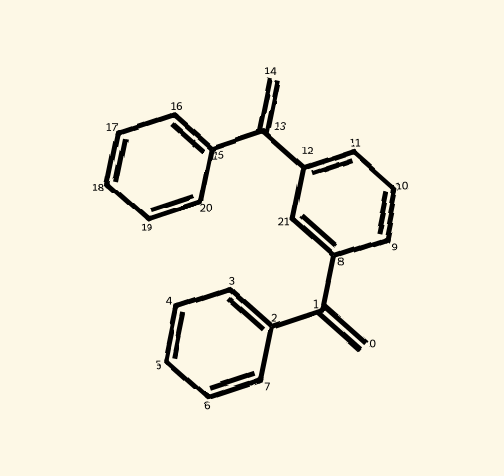 C=C(c1ccccc1)c1cccc(C(=C)c2ccccc2)c1